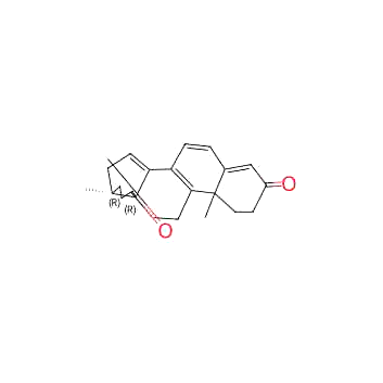 CC12CCC(=O)C=C1C=CC1=C2CC[C@@]23C(=O)CC[C@]2(C)CC=C13